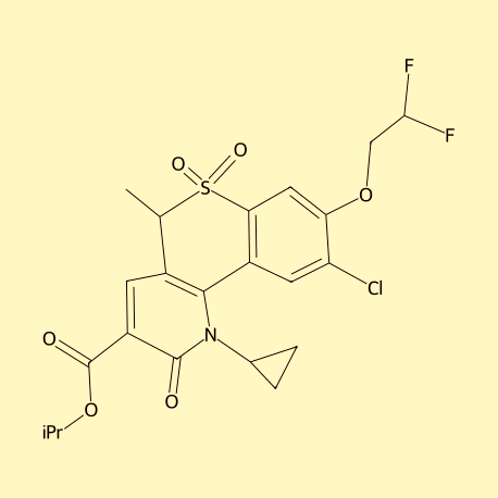 CC(C)OC(=O)c1cc2c(n(C3CC3)c1=O)-c1cc(Cl)c(OCC(F)F)cc1S(=O)(=O)C2C